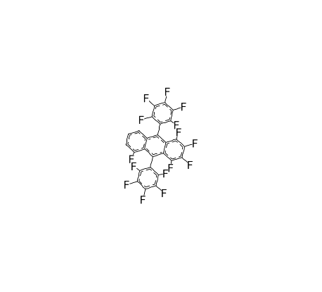 Fc1c(F)c(F)c(-c2c3cccc(F)c3c(-c3c(F)c(F)c(F)c(F)c3F)c3c(F)c(F)c(F)c(F)c23)c(F)c1F